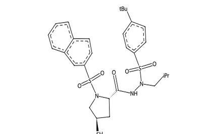 CC(C)CN(NC(=O)[C@@H]1C[C@@H](S)CN1S(=O)(=O)c1ccc2ccccc2c1)S(=O)(=O)c1ccc(C(C)(C)C)cc1